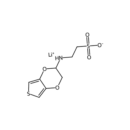 O=S(=O)([O-])CCNC1COc2cscc2O1.[Li+]